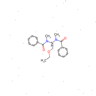 CCOC[SiH](N(C)C(=O)c1ccccc1)N(C)C(=O)c1ccccc1